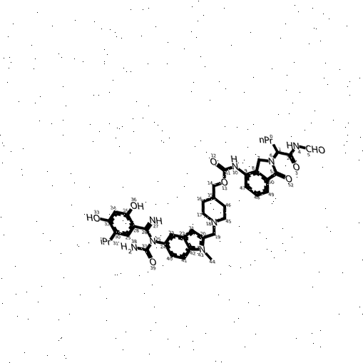 CCCC(C(=O)NC=O)N1Cc2c(NC(=O)OCC3CCN(Cc4cc5cc(N(C(=N)c6cc(C(C)C)c(O)cc6O)C(N)=O)ccc5n4C)CC3)cccc2C1=O